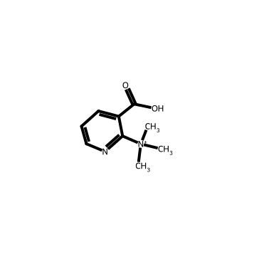 C[N+](C)(C)c1ncccc1C(=O)O